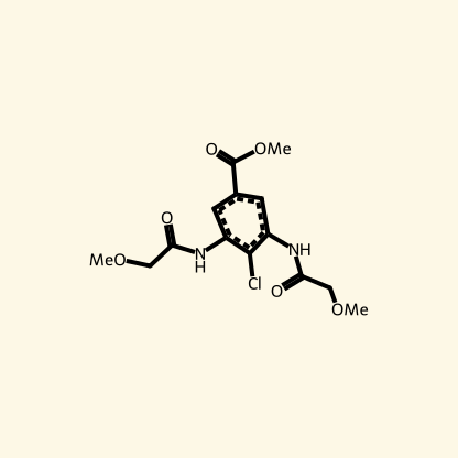 COCC(=O)Nc1cc(C(=O)OC)cc(NC(=O)COC)c1Cl